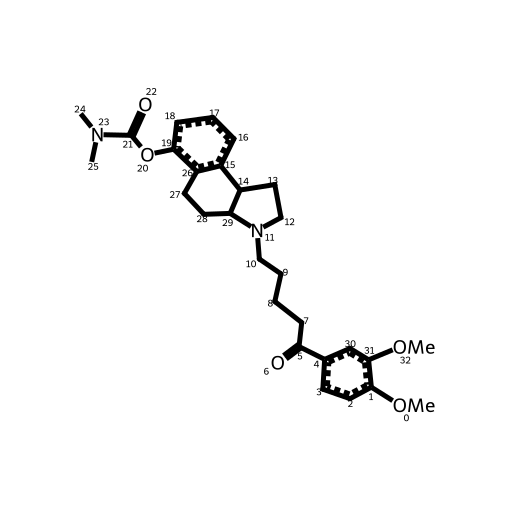 COc1ccc(C(=O)CCCCN2CCC3c4cccc(OC(=O)N(C)C)c4CCC32)cc1OC